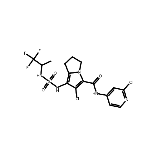 CC(NS(=O)(=O)Nc1c(Cl)c(C(=O)Nc2ccnc(Cl)c2)n2c1CCC2)C(F)(F)F